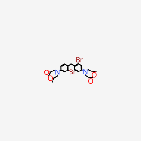 Brc1cc(N(CC2CO2)CC2CO2)ccc1Cc1ccc(N(CC2CO2)CC2CO2)cc1Br